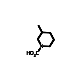 CC1CCCN(C(=O)O)C1